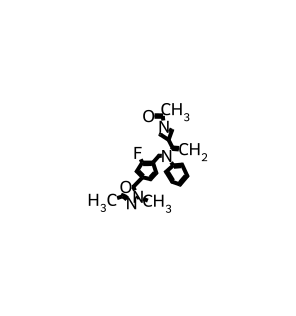 C=C(C1CN(C(C)=O)C1)N(Cc1ccc(C2OC(C)=NN2C)cc1F)c1ccccc1